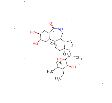 CC[C@@H](C(C)C)[C@H](O)[C@@H](O)[C@@H](C)[C@H]1CCC2C3CNC(=O)C4C[C@H](O)[C@H](O)C[C@]4(C)C3CC[C@@]21C